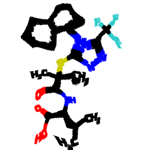 CC(C)C(NC(=O)C(C)(C)Sc1nnc(C(F)(F)F)n1-c1cccc2ccccc12)C(=O)O